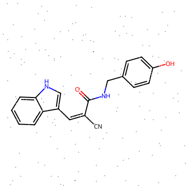 N#CC(=Cc1c[nH]c2ccccc12)C(=O)NCc1ccc(O)cc1